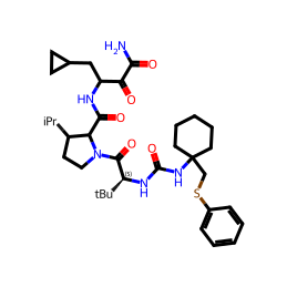 CC(C)C1CCN(C(=O)[C@@H](NC(=O)NC2(CSc3ccccc3)CCCCC2)C(C)(C)C)C1C(=O)NC(CC1CC1)C(=O)C(N)=O